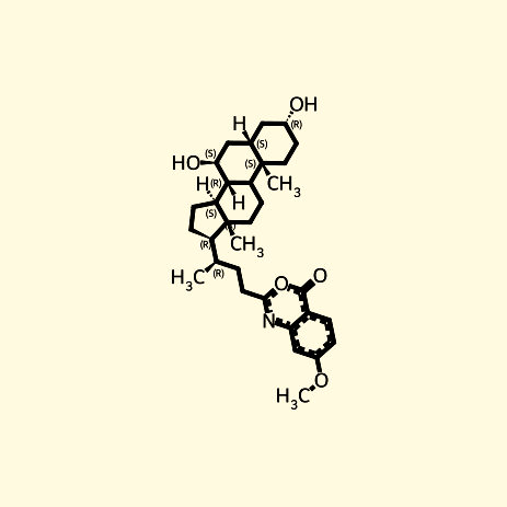 COc1ccc2c(=O)oc(CC[C@@H](C)[C@H]3CC[C@H]4[C@H]5C(CC[C@]34C)[C@@]3(C)CC[C@@H](O)C[C@H]3C[C@@H]5O)nc2c1